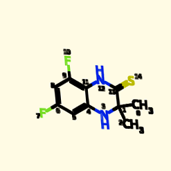 CC1(C)Nc2cc(F)cc(F)c2NC1=S